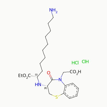 CCOC(=O)[C@H](CCCCCCCCCN)N[C@H]1CSc2ccccc2N(CC(=O)O)C1=O.Cl.Cl